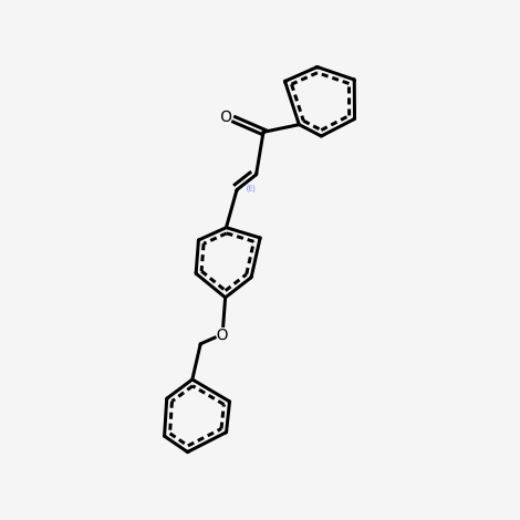 O=C(/C=C/c1ccc(OCc2ccccc2)cc1)c1ccccc1